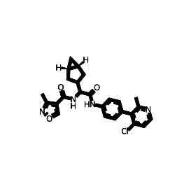 Cc1nocc1C(=O)NC(C(=O)Nc1ccc(-c2c(Cl)ccnc2C)cc1)C1C[C@@H]2C[C@@H]2C1